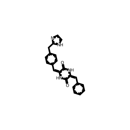 O=c1[nH]c(=Cc2ccc(Cc3ncc[nH]3)cc2)c(=O)[nH]c1=Cc1ccccc1